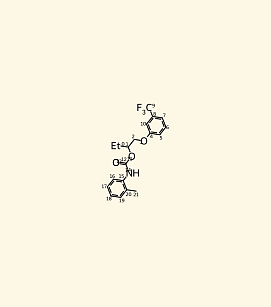 CCC(COc1cccc(C(F)(F)F)c1)OC(=O)Nc1ccccc1C